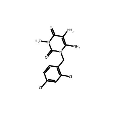 Cn1c(=O)c(N)c(N)n(Cc2ccc(Cl)cc2Cl)c1=O